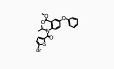 COC(=O)c1cc(Oc2ccccc2)ccc1N(C(=O)c1ccc(Br)s1)C(C)C